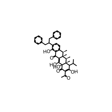 CC(=O)C1=C(O)C(C(C)C)[C@@]2(C)[C@H](C)[C@]3(C)C(=C(O)[C@@]2(O)C1=O)C(=O)c1c(ccc(C(Cc2ccccc2)Cc2ccccc2)c1O)[C@H]3C